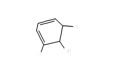 CC1C(Cl)=CC=CC1Cl